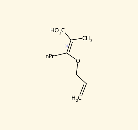 C=CCO/C(CCC)=C(\C)C(=O)O